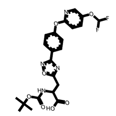 CC(C)(C)OC(=O)NC(Cc1nc(-c2ccc(Oc3ccc(OC(F)F)cn3)cc2)no1)C(=O)O